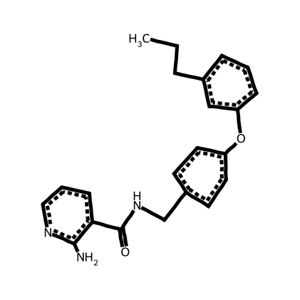 CCCc1cccc(Oc2ccc(CNC(=O)c3cccnc3N)cc2)c1